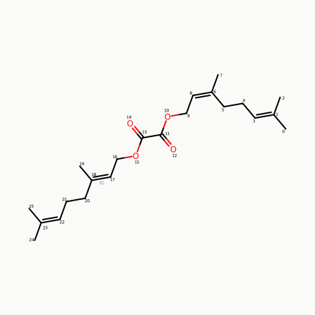 CC(C)=CCCC(C)=CCOC(=O)C(=O)OC/C=C(\C)CCC=C(C)C